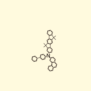 CC1(C)c2ccccc2-c2cc3c(cc21)-c1ccc(N(c2ccc(-c4ccccc4)cc2)c2ccc4ccc5ccccc5c4c2)cc1C3(C)C